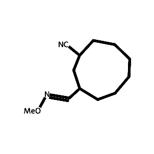 CON=CC1CCCCCCC(C#N)C1